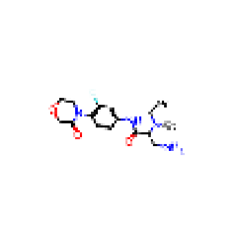 CCN(CC(C)C)[C@@H](CN)C(=O)Nc1ccc(N2CCOCC2=O)c(F)c1